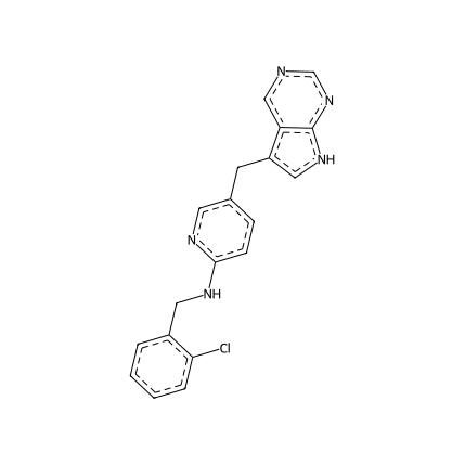 Clc1ccccc1CNc1ccc(Cc2c[nH]c3ncncc23)cn1